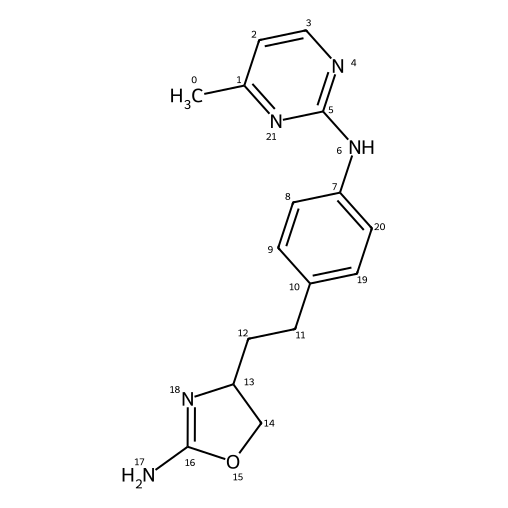 Cc1ccnc(Nc2ccc(CCC3COC(N)=N3)cc2)n1